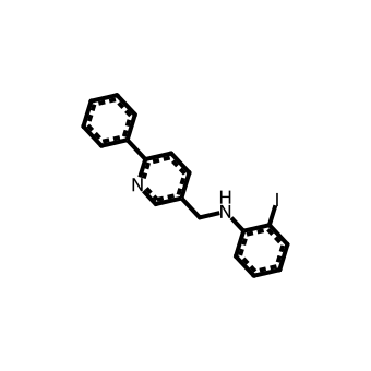 Ic1ccccc1NCc1ccc(-c2ccccc2)nc1